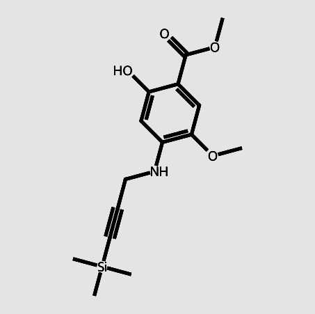 COC(=O)c1cc(OC)c(NCC#C[Si](C)(C)C)cc1O